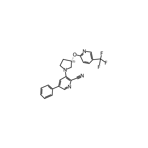 N#Cc1ncc(-c2ccccc2)cc1N1CC[C@H](Oc2ccc(C(F)(F)F)cn2)C1